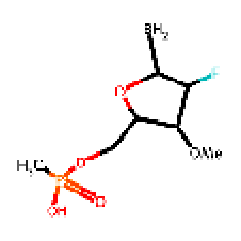 BC1OC(COP(C)(=O)O)C(OC)C1F